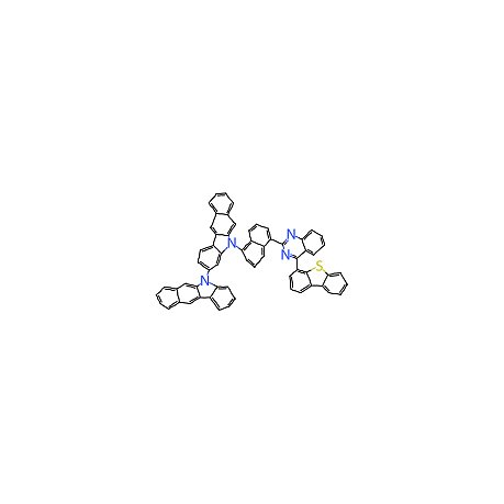 c1ccc2cc3c(cc2c1)c1ccccc1n3-c1ccc2c3cc4ccccc4cc3n(-c3cccc4c(-c5nc(-c6cccc7c6sc6ccccc67)c6ccccc6n5)cccc34)c2c1